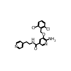 Nc1ncc(C(=O)NCCc2ccncc2)cc1OCc1c(Cl)cccc1Cl